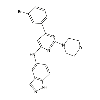 Brc1cccc(-c2cc(Nc3ccc4[nH]ncc4c3)nc(N3CCOCC3)n2)c1